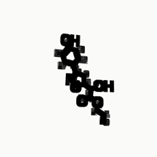 C=CCOC(=O)C(O)C1CC(c2ccc(O)cc2)=NO1